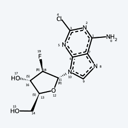 Nc1nc(Cl)nc2c1ncn2[C@@H]1O[C@@H](CO)[C@H](O)[C@H]1F